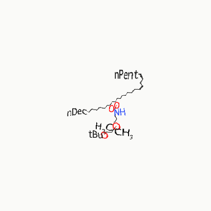 CCCCC/C=C\C/C=C\CCCCCCCC(CCCCCCCCCCCCCCCCCC)OC(=O)NCCCOC(C)(C)CCOC(C)(C)C